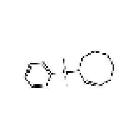 C[Si](C)(c1ccccc1)C1C=CCCCCC1